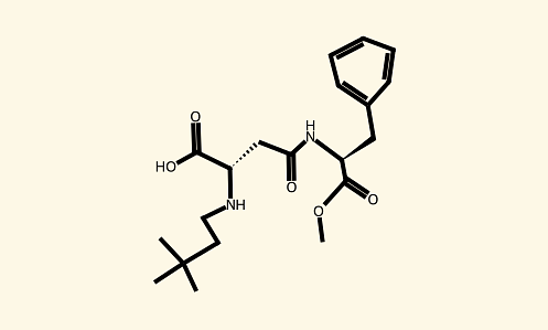 COC(=O)[C@H](Cc1ccccc1)NC(=O)C[C@H](NCCC(C)(C)C)C(=O)O